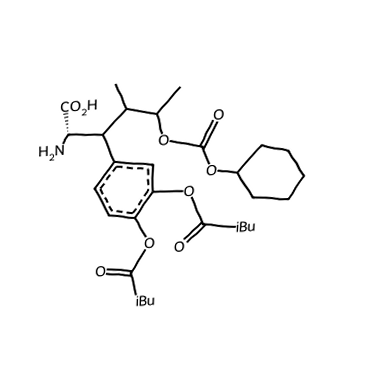 CCC(C)C(=O)Oc1ccc(C(C(C)C(C)OC(=O)OC2CCCCC2)[C@H](N)C(=O)O)cc1OC(=O)C(C)CC